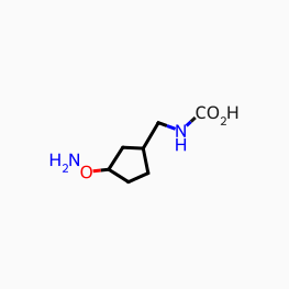 NOC1CCC(CNC(=O)O)C1